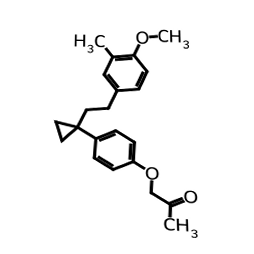 COc1ccc(CCC2(c3ccc(OCC(C)=O)cc3)CC2)cc1C